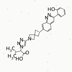 CC(C)C(C(=O)O)n1cc(N2CC3(CC(c4ccc5cc(-c6ccccc6O)nnc5c4)C3)C2)nn1